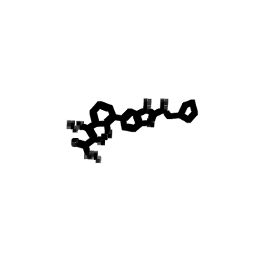 NC(=O)c1nnc2c(-c3ccc4nc(NCC5CCCC5)[nH]c4c3)cccc2c1N